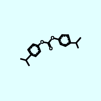 CC(C)c1ccc(OC(=O)Oc2ccc(C(C)C)cc2)cc1